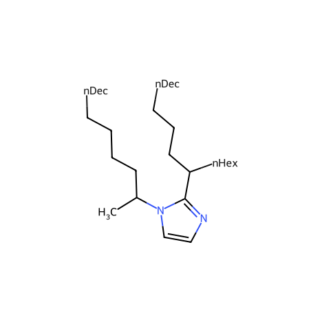 CCCCCCCCCCCCCCC(C)n1ccnc1C(CCCCCC)CCCCCCCCCCCCC